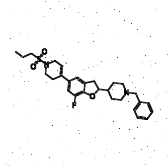 CCCS(=O)(=O)N1CC=C(c2cc(F)c3c(c2)CC(C2CCN(Cc4ccccc4)CC2)O3)CC1